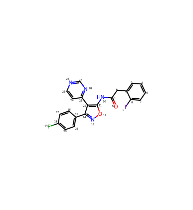 O=C(Cc1ccccc1I)Nc1onc(-c2ccc(F)cc2)c1-c1ccncn1